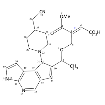 COC(=O)/C(=C/C(=O)O)COC(C)c1nc2cnc3[nH]ccc3c2n1N1CCC(CC#N)CC1